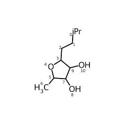 CC(C)CCC1OC(C)C(O)C1O